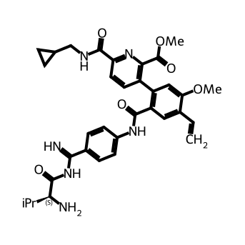 C=Cc1cc(C(=O)Nc2ccc(C(=N)NC(=O)[C@@H](N)C(C)C)cc2)c(-c2ccc(C(=O)NCC3CC3)nc2C(=O)OC)cc1OC